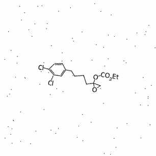 CCOC(=O)OC1(CCCCc2ccc(Cl)c(Cl)c2)CO1